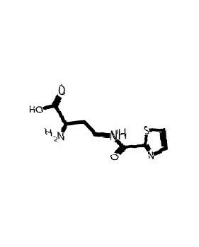 NC(CCNC(=O)c1nccs1)C(=O)O